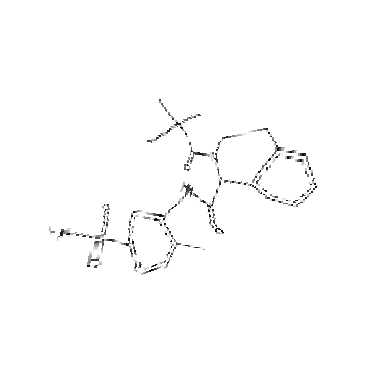 Cc1ccc(S(N)(=O)=O)cc1NC(=O)C1c2ccccc2CCN1C(=O)C(C)(C)C